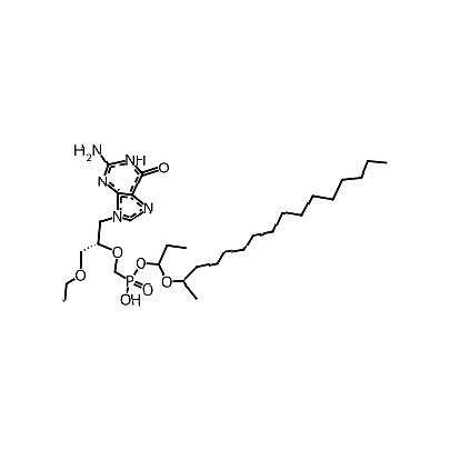 CCCCCCCCCCCCCCC(C)OC(CC)OP(=O)(O)CO[C@H](COCC)Cn1cnc2c(=O)[nH]c(N)nc21